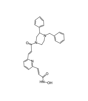 O=C(C=Cc1cccc(C=CC(=O)N2CCN(Cc3ccccc3)C(c3ccccc3)C2)n1)NO